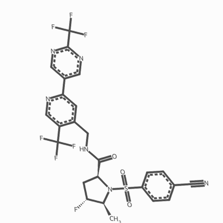 C[C@H]1[C@H](F)C[C@@H](C(=O)NCc2cc(-c3cnc(C(F)(F)F)nc3)ncc2C(F)(F)F)N1S(=O)(=O)c1ccc(C#N)cc1